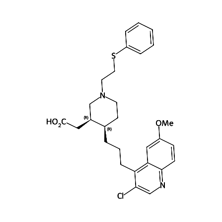 COc1ccc2ncc(Cl)c(CCC[C@@H]3CCN(CCSc4ccccc4)C[C@@H]3CC(=O)O)c2c1